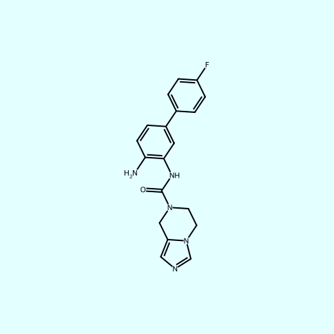 Nc1ccc(-c2ccc(F)cc2)cc1NC(=O)N1CCn2cncc2C1